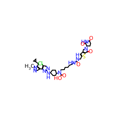 Cn1ncc(-c2nc(NC3CCC(N(CCCCCCNC(=O)NCc4cc5c(s4)C(=O)N(C4CCC(=O)NC4=O)C5)C(=O)O)CC3)ncc2Cl)c1CC1CC1